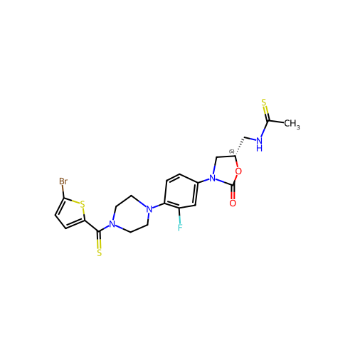 CC(=S)NC[C@H]1CN(c2ccc(N3CCN(C(=S)c4ccc(Br)s4)CC3)c(F)c2)C(=O)O1